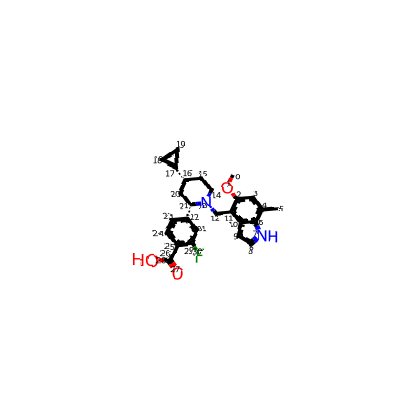 COc1cc(C)c2[nH]ccc2c1CN1CC[C@@H](C2CC2)C[C@H]1c1ccc(C(=O)O)c(F)c1